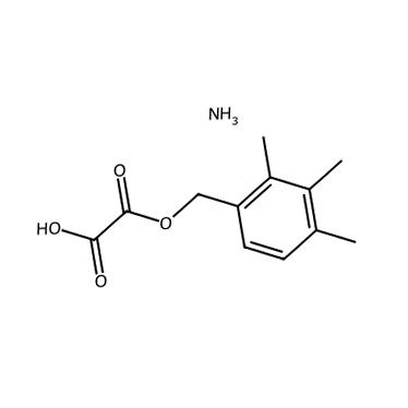 Cc1ccc(COC(=O)C(=O)O)c(C)c1C.N